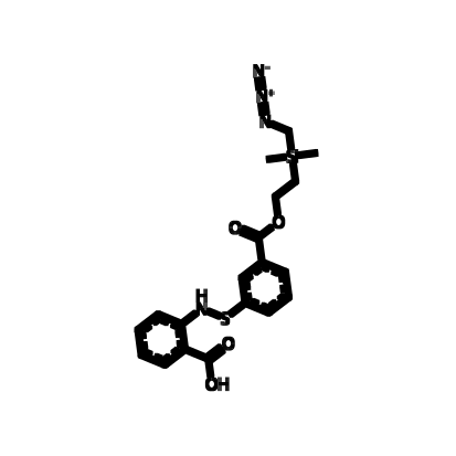 C[Si](C)(CCOC(=O)c1cccc(SNc2ccccc2C(=O)O)c1)CN=[N+]=[N-]